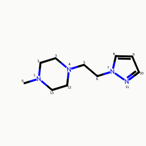 CN1CCN(CCn2cccn2)CC1